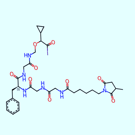 CC1CC(=O)N(CCCCCC(=O)NCC(=O)NCC(=O)N[C@@H](Cc2ccccc2)C(=O)NCC(=O)NCOC(C(=O)I)C2CC2)C1=O